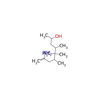 C=C(N)CC(C)C(C)(C)C(C)CC(C)O